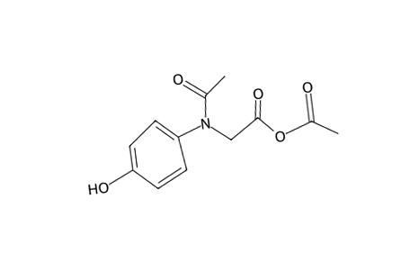 CC(=O)OC(=O)CN(C(C)=O)c1ccc(O)cc1